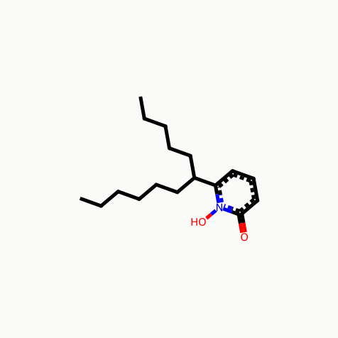 CCCCCCC(CCCCC)c1cccc(=O)n1O